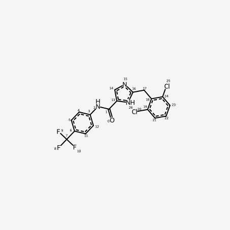 O=C(Nc1ccc(C(F)(F)F)cc1)c1cnc(Cc2c(Cl)cccc2Cl)[nH]1